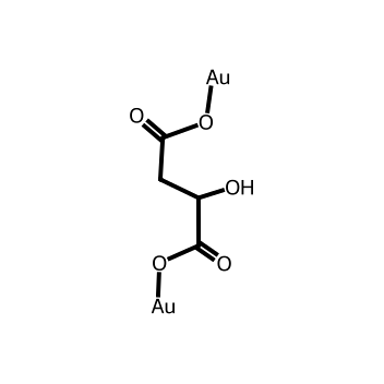 O=C(CC(O)C(=O)[O][Au])[O][Au]